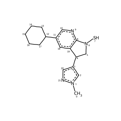 Cn1cc(C2CN(S)c3ncc(C4CCCCC4)cc32)cn1